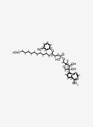 CCCCCCCCCCCCCCCCCCCC[C@H](COP(=O)(O)OC[C@@]1(C)OC[C@](O)(c2ccc3c(N)ncnn23)[C@@H]1O)Oc1cccc(C#N)c1